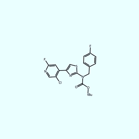 CC(C)(C)OC(=O)N(Cc1ccc(F)cc1)c1nc(-c2cc(F)ncc2Cl)cs1